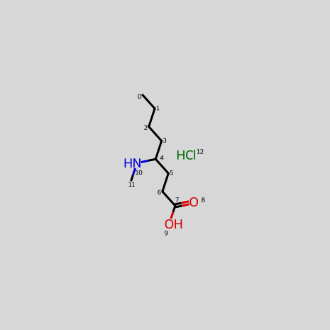 CCCCC(CCC(=O)O)NC.Cl